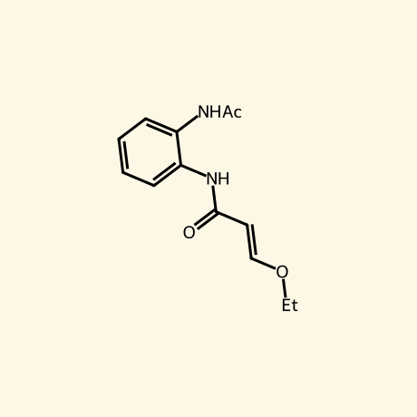 CCO/C=C/C(=O)Nc1ccccc1NC(C)=O